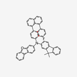 CC1(C)c2ccccc2-c2ccc(N(c3ccc(-c4cccc5cccc(-c6ccc(F)cc6)c45)cc3)c3ccc4c(c3)oc3ccccc34)cc21